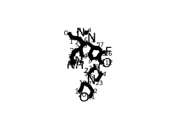 CCc1ncnc(-c2ccc(C(=O)N3CCN(C4CCOCC4)CC3)c(F)c2)c1-c1ccc(N)nc1